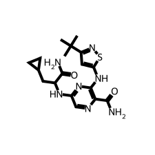 CC(C)(C)c1cc(Nc2nc(NC(CC3CC3)C(N)=O)cnc2C(N)=O)sn1